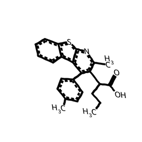 CCCC(C(=O)O)c1c(C)nc2sc3ccccc3c2c1-c1ccc(C)cc1